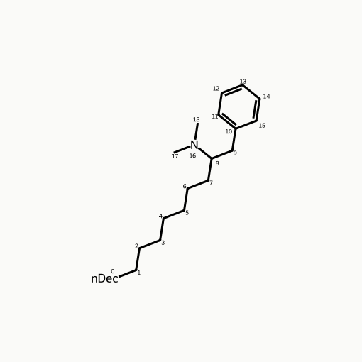 CCCCCCCCCCCCCCCCCC(Cc1ccccc1)N(C)C